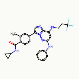 Cc1cc(-c2cnc3c(NCCC(F)(F)F)cc(Nc4ccccc4)nn23)ccc1C(=O)NC1CC1